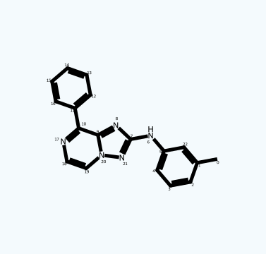 Cc1cccc(Nc2nc3c(-c4ccccc4)nccn3n2)c1